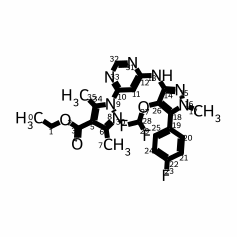 CCOC(=O)c1c(C)nn(-c2cc(Nc3nn(C)c(-c4ccc(F)cc4)c3OC(F)F)ncn2)c1C